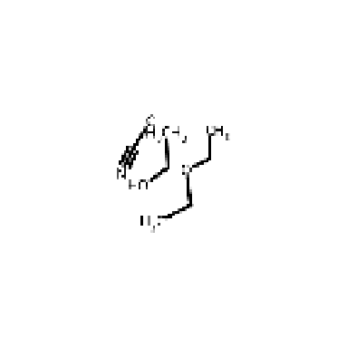 CC#N.CCO.CCOCC